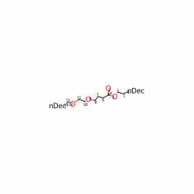 CCCCCCCCCCCCOC(=O)CCCOCCOCCCCCCCCCCC